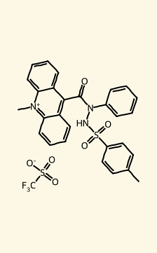 Cc1ccc(S(=O)(=O)NN(C(=O)c2c3ccccc3[n+](C)c3ccccc23)c2ccccc2)cc1.O=S(=O)([O-])C(F)(F)F